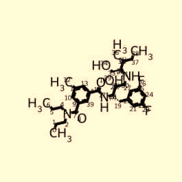 CCCN(CCC)C(=O)c1cc(C)cc(C(=O)N[C@@H](Cc2cc(F)cc(F)c2)[C@H](O)CN[C@@H](CO)[C@@H](C)CC)c1